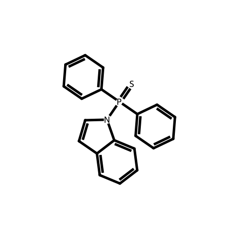 S=P(c1ccccc1)(c1ccccc1)n1ccc2ccccc21